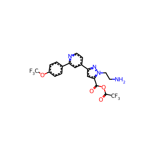 NCCn1nc(-c2ccnc(-c3ccc(OC(F)(F)F)cc3)c2)cc1C(=O)OC(=O)C(F)(F)F